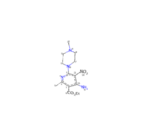 CCOC(=O)c1c(C)nc(N2CCN(C)CC2)c([N+](=O)[O-])c1N